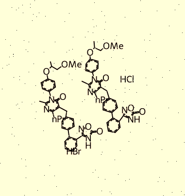 Br.CCCc1nc(C)n(-c2ccc(OC(C)COC)cc2)c(=O)c1Cc1ccc(-c2ccccc2-c2noc(=O)[nH]2)cc1.CCCc1nc(C)n(-c2ccc(OC(C)COC)cc2)c(=O)c1Cc1ccc(-c2ccccc2-c2noc(=O)[nH]2)cc1.Cl